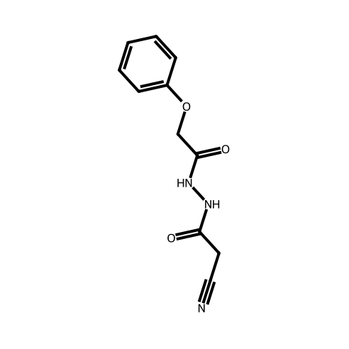 N#CCC(=O)NNC(=O)COc1ccccc1